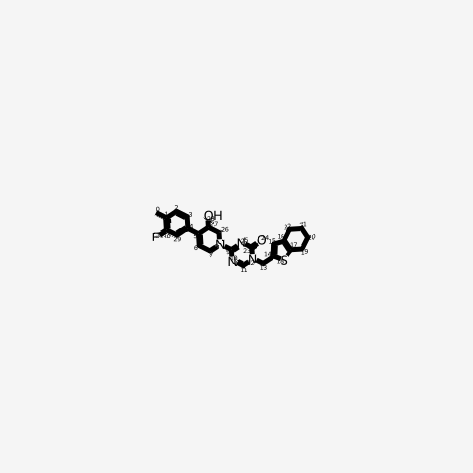 Cc1ccc(C2=CCN(c3ncn(Cc4cc5c(s4)CCCC5)c(=O)n3)CC2O)cc1F